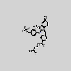 Cn1/c(=N\c2ccc(OC(F)(F)F)cc2)n(Cc2ccc(C(=O)NCCC(=O)O)cc2)c2ccc(Cl)cc21